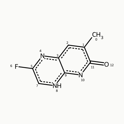 Cc1cc2nc(F)c[nH]c-2nc1=O